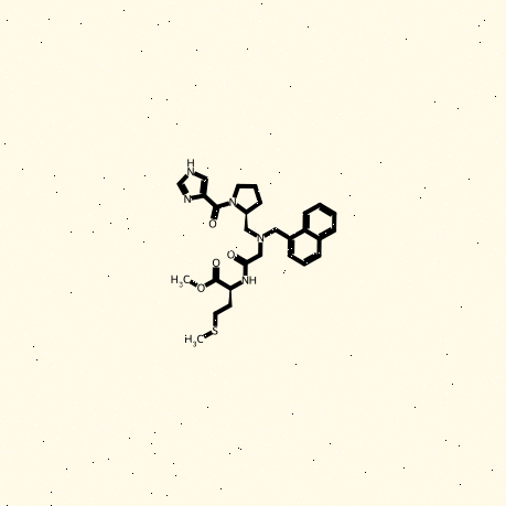 COC(=O)[C@H](CCSC)NC(=O)CN(Cc1cccc2ccccc12)C[C@@H]1CCCN1C(=O)c1c[nH]cn1